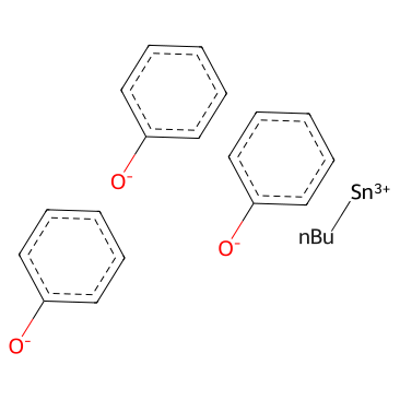 CCC[CH2][Sn+3].[O-]c1ccccc1.[O-]c1ccccc1.[O-]c1ccccc1